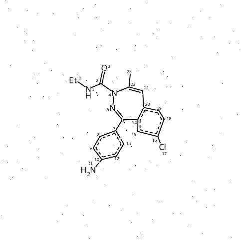 CCNC(=O)N1N=C(c2ccc(N)cc2)c2cc(Cl)ccc2C=C1C